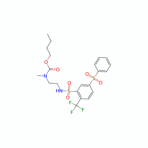 CCCCOC(=O)N(C)CCNS(=O)(=O)c1cc(S(=O)(=O)c2ccccc2)ccc1C(F)(F)F